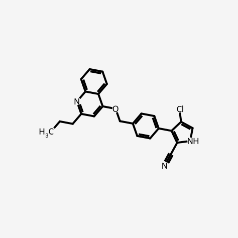 CCCc1cc(OCc2ccc(-c3c(Cl)c[nH]c3C#N)cc2)c2ccccc2n1